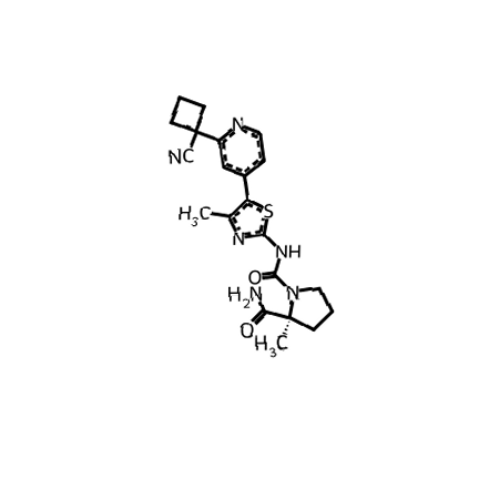 Cc1nc(NC(=O)N2CCC[C@@]2(C)C(N)=O)sc1-c1ccnc(C2(C#N)CCC2)c1